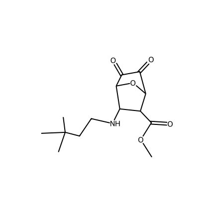 COC(=O)C1C2OC(C(=O)C2=O)C1NCCC(C)(C)C